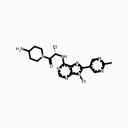 CC[C@H](Nc1ncnc2c1nc(-c1cnc(C)nc1)n2CC)C(=O)N1CCC(N)CC1